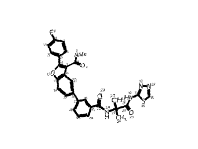 CNC(=O)c1c(-c2ccc(F)cc2)oc2ccc(-c3cccc(C(=O)NC(C)(C)C(=O)Nc4nncs4)c3)cc12